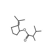 CC(C)=C1CCCC1OC(=O)C(C)C(C)C